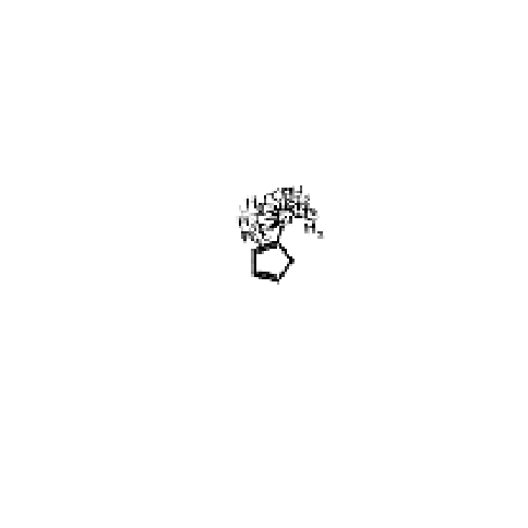 [CH3][Zr]([CH3])([CH3])([CH3])([CH3])([CH3])([CH3])([CH3])([CH3])([CH3])[C]1=CC=CC1